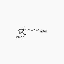 CCCCCCCCCCCCCCCCC(C)n1ccnc1C(C)CCCCCCCCC